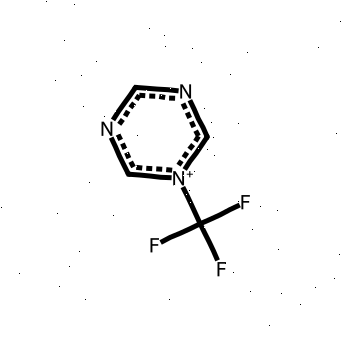 FC(F)(F)[n+]1cncnc1